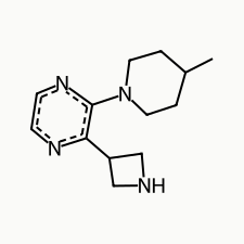 CC1CCN(c2nccnc2C2CNC2)CC1